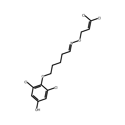 Oc1cc(Cl)c(OCCCCC=NOCC=C(Cl)Cl)c(Cl)c1